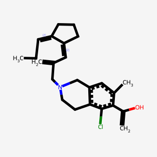 C=C(/C=C1/CCC/C1=C/CC)CN1CCc2c(cc(C)c(C(=C)O)c2Cl)C1